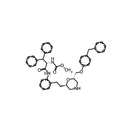 COC(=O)N[C@H](C(=O)Nc1ccccc1CC[C@@H]1CNC[C@@H](COc2ccc(Cc3ccccc3)cc2)O1)C(c1ccccc1)c1ccccc1